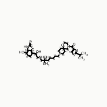 CC(C)c1nc(C(=O)N2CCOC3(CCN(CCCCCC(C)(C)CNC[C@H](O)c4ccc(O)c5[nH]c(=O)sc45)CC3)C2)cs1